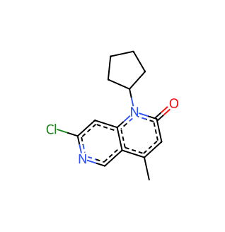 Cc1cc(=O)n(C2CCCC2)c2cc(Cl)ncc12